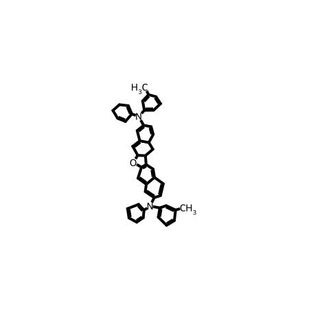 Cc1cccc(N(C2=CCCC=C2)C2=CC3=CC4Oc5cc6cc(N(c7ccccc7)c7cccc(C)c7)ccc6cc5C4CC3C=C2)c1